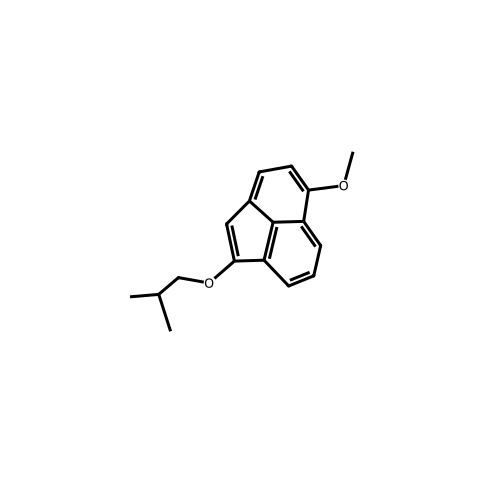 COc1ccc2c3c(cccc13)C(OCC(C)C)=C2